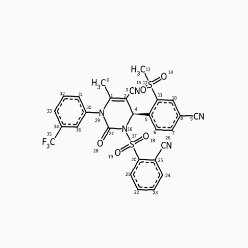 CC1=C(C#N)[C@@H](c2ccc(C#N)cc2S(C)(=O)=O)N(S(=O)(=O)c2ccccc2C#N)C(=O)N1c1cccc(C(F)(F)F)c1